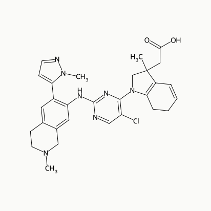 CN1CCc2cc(-c3ccnn3C)c(Nc3ncc(Cl)c(N4CC(C)(CC(=O)O)C5=C4CCC=C5)n3)cc2C1